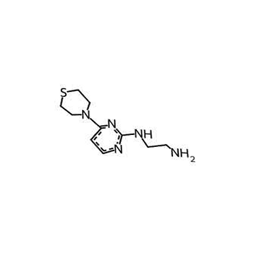 NCCNc1nccc(N2CCSCC2)n1